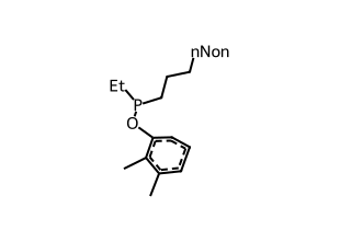 CCCCCCCCCCCCP(CC)Oc1cccc(C)c1C